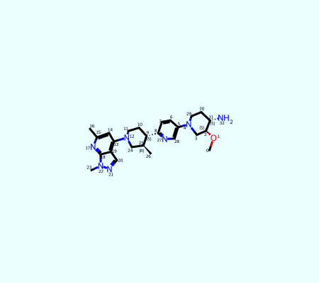 CO[C@H]1CN(c2ccc([C@H]3CCN(c4cc(C)nc5c4cnn5C)C[C@@H]3C)nc2)CC[C@@H]1N